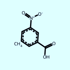 C.O=C(O)c1cccc([N+](=O)[O-])c1